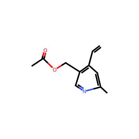 C=Cc1cc(C)ncc1COC(C)=O